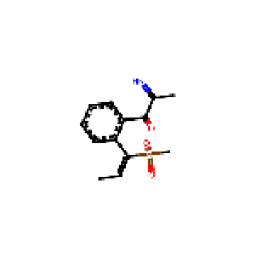 C/C=C(\c1ccccc1C(=O)C(C)=N)S(C)(=O)=O